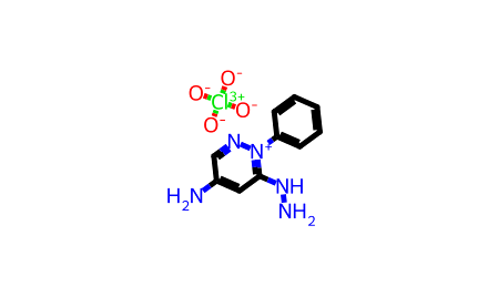 NNc1cc(N)cn[n+]1-c1ccccc1.[O-][Cl+3]([O-])([O-])[O-]